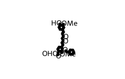 COc1cc(C=CC(=O)CC(=O)C=Cc2ccc(C(=O)C=O)c(OC)c2OCc2ccccc2)ccc1O